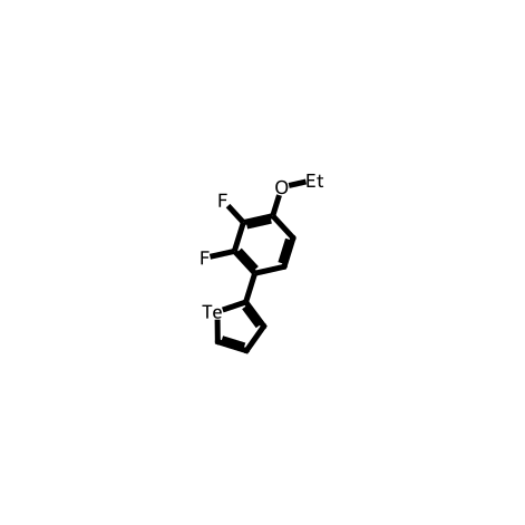 CCOc1ccc(-c2ccc[te]2)c(F)c1F